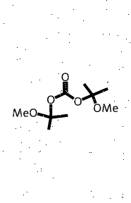 COC(C)(C)OC(=O)OC(C)(C)OC